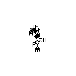 Cn1cc(-c2cc(O)c(-c3cnc(N(C4CC4)[C@H]4C[C@@H]5CC[C@@H](N5)[C@H]4F)cn3)cc2F)cn1